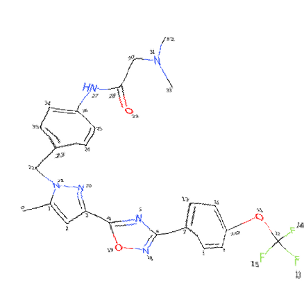 Cc1cc(-c2nc(-c3ccc(OC(F)(F)F)cc3)no2)nn1Cc1ccc(NC(=O)CN(C)C)cc1